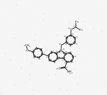 COc1ccc(-c2c[c]c3c4c(C(N)=O)cccc4n(Cc4cccc(OC(F)F)c4)c3c2)cc1